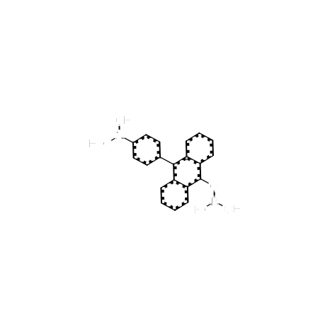 CN(C)c1ccc(-c2c3ccccc3c(OB(O)O)c3ccccc23)cc1